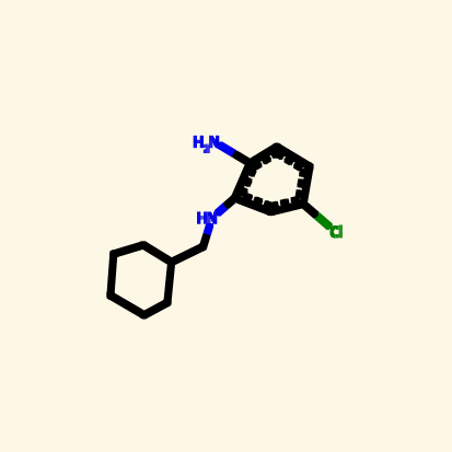 Nc1ccc(Cl)cc1NCC1CCCCC1